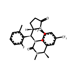 Cc1cccc(F)c1[C@H]1[C@@H]2CCC(=O)N2CCN1C(=O)N(C)[C@H](C)c1cc(C(F)(F)F)cc(C(F)(F)F)c1